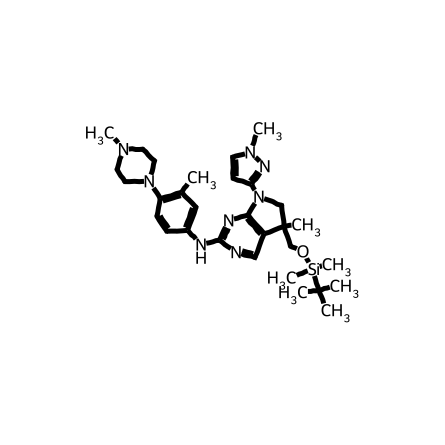 Cc1cc(Nc2ncc3c(n2)N(c2ccn(C)n2)CC3(C)CO[Si](C)(C)C(C)(C)C)ccc1N1CCN(C)CC1